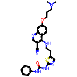 CN(C)CCCOc1ccc2c(NCCc3cnc(NC(=O)Nc4ccccc4)s3)c(C#N)cnc2c1